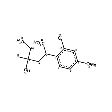 COc1ccc(C(CC(C)(O)CN)C(=O)O)c(Cl)c1